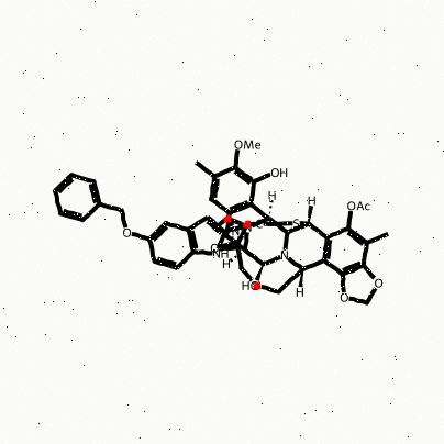 COc1c(C)cc2c(c1O)[C@H]1C3[C@@H]4SC[C@]5(NCCc6c5[nH]c5ccc(OCc7ccccc7)cc65)C(=O)COC[C@@H](c5c6c(c(C)c(OC(C)=O)c54)OCO6)N3[C@@H](O)[C@@H](C2)N1C